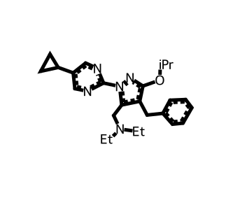 CCN(CC)Cc1c(Cc2ccccc2)c(OC(C)C)nn1-c1ncc(C2CC2)cn1